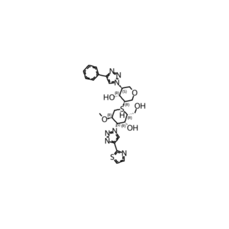 CO[C@H]1C[SH]([C@@H]2COC[C@H](n3cc(-c4ccccc4)nn3)[C@H]2O)[C@H](CO)[C@H](O)[C@@H]1n1cc(-c2nccs2)nn1